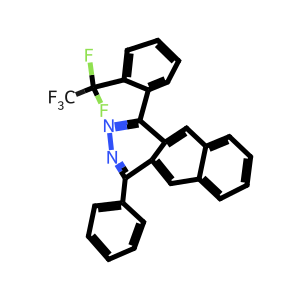 FC(F)(F)C(F)(F)c1ccccc1-c1nnc(-c2ccccc2)c2cc3ccccc3cc12